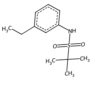 CCc1cccc(NS(=O)(=O)C(C)(C)C)c1